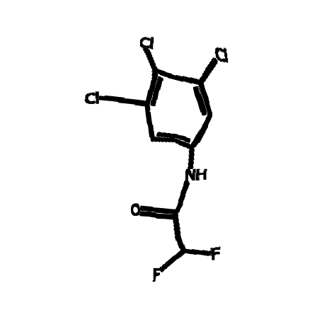 O=C(Nc1cc(Cl)c(Cl)c(Cl)c1)C(F)F